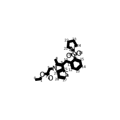 CCOC(=O)Cn1c(C)c(Cc2ccccc2S(=O)(=O)N2CCCC2)c2sccc21